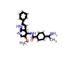 COc1cnc2[nH]c(-c3ccccc3)cc2c1NC(=O)C1CCC(C(C)N)CC1